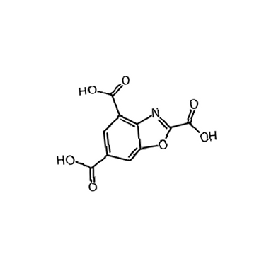 O=C(O)c1cc(C(=O)O)c2nc(C(=O)O)oc2c1